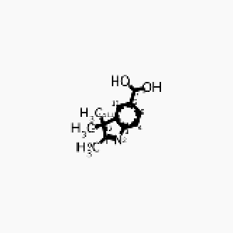 CC1=Nc2ccc(C(O)O)cc2C1(C)C